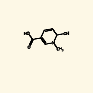 CN1C=C(C(=O)O)C=CC1O